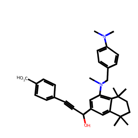 CN(C)c1ccc(CN(C)c2cc(C(O)C#Cc3ccc(C(=O)O)cc3)cc3c2C(C)(C)CCC3(C)C)cc1